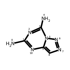 Nc1nc(N)n2nncc2n1